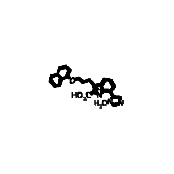 Cn1cncc1-c1cccc2c(CCCOc3cccc4ccccc34)c(C(=O)O)[nH]c12